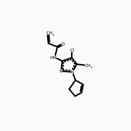 C=CC(=O)Nc1nn(C2C=CCC2)c(C)c1Cl